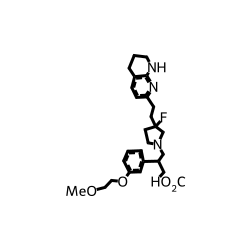 COCCOc1cccc(C(CC(=O)O)CN2CCC(F)(CCc3ccc4c(n3)NCCC4)C2)c1